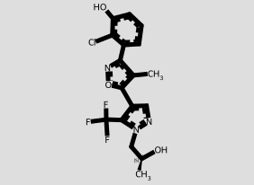 Cc1c(-c2cccc(O)c2Cl)noc1-c1cnn(C[C@H](C)O)c1C(F)(F)F